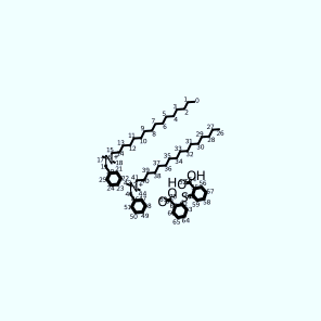 CCCCCCCCCCCCCCCC[N+](C)(C)Cc1ccccc1.CCCCCCCCCCCCCCCC[N+](C)(C)Cc1ccccc1.O=C(O)c1ccccc1Sc1ccccc1C(=O)O